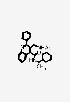 CC(=O)NCc1c(-c2ccccc2)nc2ccccc2c1C(=O)N[C@@H](C)C1CCCCC1